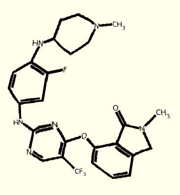 CN1CCC(Nc2ccc(Nc3ncc(C(F)(F)F)c(Oc4cccc5c4C(=O)N(C)C5)n3)cc2F)CC1